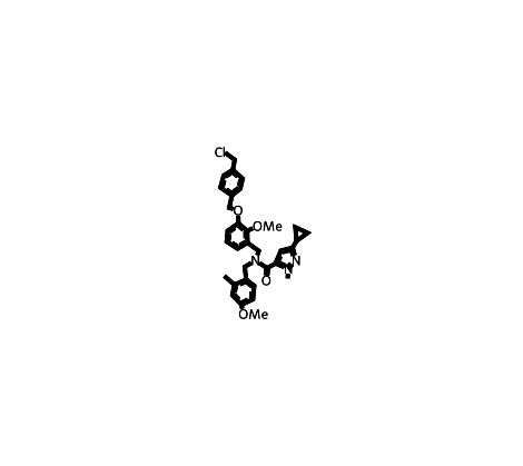 COc1ccc(CN(Cc2cccc(OCc3ccc(CCl)cc3)c2OC)C(=O)c2cc(C3CC3)nn2C)c(C)c1